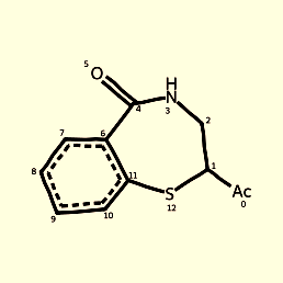 CC(=O)C1CNC(=O)c2ccccc2S1